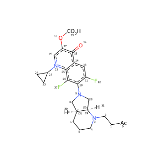 CC(=O)CCN1CCC[C@H]2CN(c3c(F)cc4c(=O)c(OC(=O)O)cn(C5CC5)c4c3F)C[C@H]21